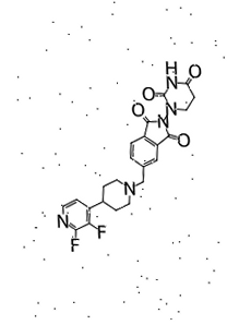 O=C1CCN(N2C(=O)c3ccc(CN4CCC(c5ccnc(F)c5F)CC4)cc3C2=O)C(=O)N1